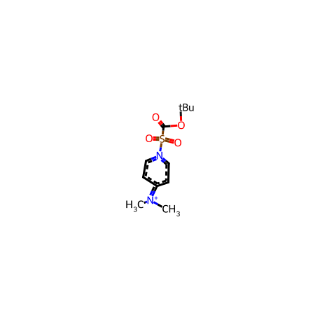 C[N+](C)=c1ccn(S(=O)(=O)C(=O)OC(C)(C)C)cc1